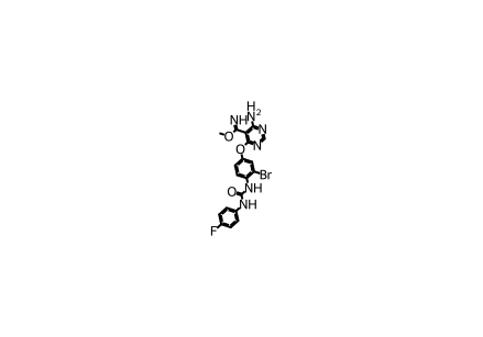 COC(=N)c1c(N)ncnc1Oc1ccc(NC(=O)Nc2ccc(F)cc2)c(Br)c1